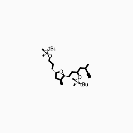 C#CC(C)CC(CC[C@@H]1O[C@@H](CCCO[Si](C)(C)C(C)(C)C)CC1=C)O[Si](C)(C)C(C)(C)C